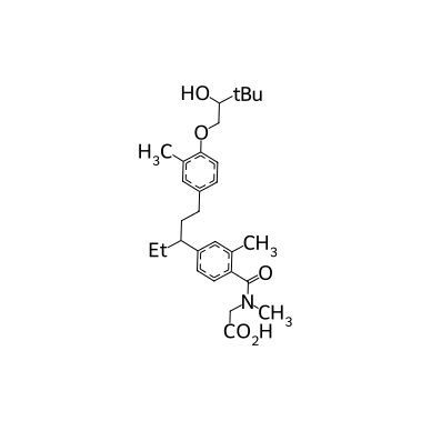 CCC(CCc1ccc(OCC(O)C(C)(C)C)c(C)c1)c1ccc(C(=O)N(C)CC(=O)O)c(C)c1